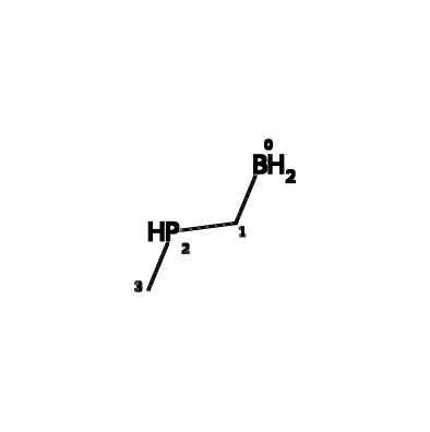 BCPC